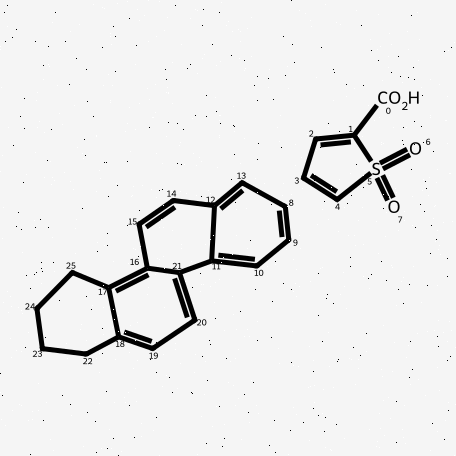 O=C(O)C1=CC=CS1(=O)=O.c1ccc2c(c1)ccc1c3c(ccc12)CCCC3